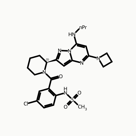 CCCNc1cc(N2CCC2)nc2cc([C@@H]3CCCCN3C(=O)c3cc(Cl)ccc3NS(C)(=O)=O)nn12